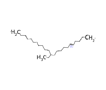 [CH2]CCC/C=C/CCCCCC(CC)CCCCCCCCCC[CH2]